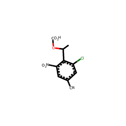 CC(OC(=O)O)c1c(Cl)cc(C#N)cc1[N+](=O)[O-]